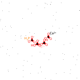 O=C(O)O.O=C([O-])O.O=C([O-])[O-].O=C([O-])[O-].P.[B+3].[Ca+2]